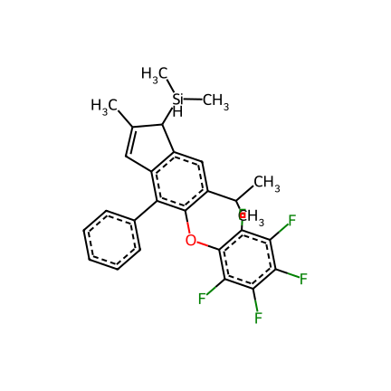 CC1=Cc2c(cc(C(C)C)c(Oc3c(F)c(F)c(F)c(F)c3F)c2-c2ccccc2)C1[SiH](C)C